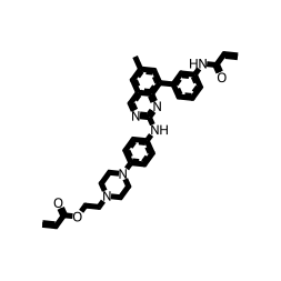 C=CC(=O)Nc1cccc(-c2cc(C)cc3cnc(Nc4ccc(N5CCN(CCOC(=O)C=C)CC5)cc4)nc23)c1